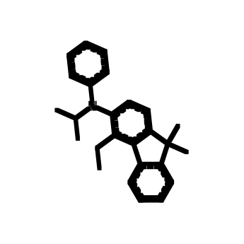 CCc1c(N(c2ccccc2)C(C)C)ccc2c1-c1ccccc1C2(C)C